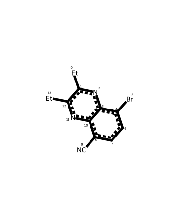 CCc1nc2c(Br)ccc(C#N)c2nc1CC